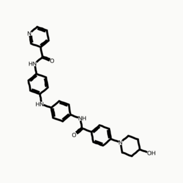 O=C(Nc1ccc(Nc2ccc(NC(=O)c3cccnc3)cc2)cc1)c1ccc(N2CCC(O)CC2)cc1